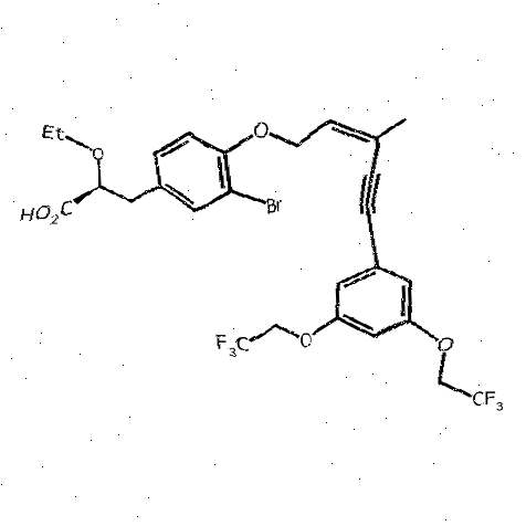 CCO[C@@H](Cc1ccc(OCC=C(C)C#Cc2cc(OCC(F)(F)F)cc(OCC(F)(F)F)c2)c(Br)c1)C(=O)O